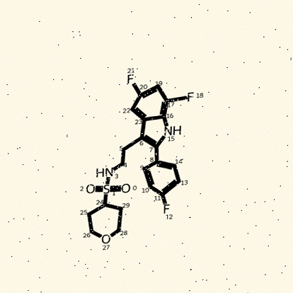 O=S(=O)(NCCc1c(-c2ccc(F)cc2)[nH]c2c(F)cc(F)cc12)C1CCOCC1